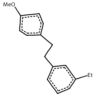 CCc1cccc(CCc2ccc(OC)cc2)c1